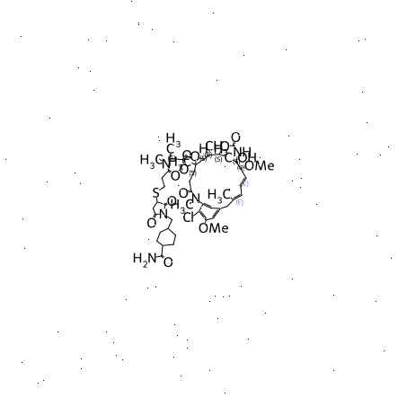 COc1cc2cc(c1Cl)N(C)C(=O)C[C@H](OC(=O)[C@H](C)N(C)C(=O)CCSC1CC(=O)N(CC3CCC(C(N)=O)CC3)C1=O)C1(C)O[C@H]1[C@H](C)[C@@H]1C[C@@](O)(NC(=O)O1)[C@H](OC)/C=C/C=C(\C)C2